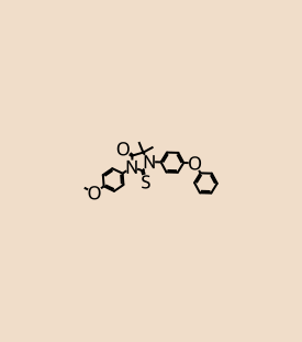 COc1ccc(N2C(=O)C(C)(C)N(c3ccc(Oc4ccccc4)cc3)C2=S)cc1